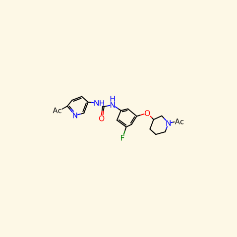 CC(=O)c1ccc(NC(=O)Nc2cc(F)cc(OC3CCCN(C(C)=O)C3)c2)cn1